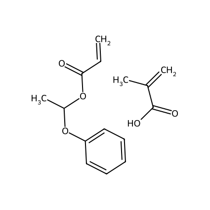 C=C(C)C(=O)O.C=CC(=O)OC(C)Oc1ccccc1